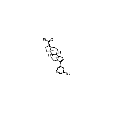 CCC(=O)N1CC[C@@]2(C)C1CC[C@@H]1[C@@H]2CC[C@]2(C)C(c3cncc(CC)c3)=CC[C@@H]12